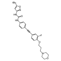 CC(C)(C)c1cc(NC(=O)Nc2ccc(C#Cc3ccc(OCCCN4CCOCC4)c(F)c3)cc2)no1